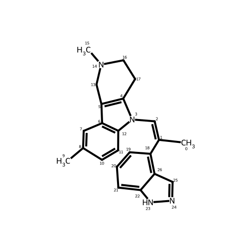 C/C(=C/n1c2c(c3cc(C)ccc31)CN(C)CC2)c1cccc2[nH]ncc12